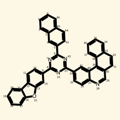 c1ccc2cc(-c3nc(-c4ccc5c(c4)oc4ccccc45)nc(-c4ccc5ncc6ccc7ccccc7c6c5c4)n3)ccc2c1